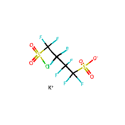 O=S(=O)([O-])C(F)(F)C(F)(F)C(F)(F)C(F)(F)S(=O)(=O)Cl.[K+]